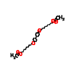 C=CC(=O)OCCCCCCCCCOc1ccc(-c2ccc(OCCCCCCCCCOC(=O)C=C)cc2)cc1